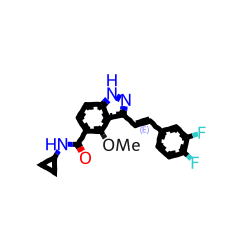 COc1c(C(=O)NC2CC2)ccc2[nH]nc(/C=C/c3ccc(F)c(F)c3)c12